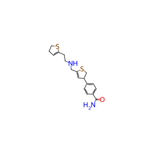 NC(=O)c1ccc(C2C=C(CNCCC3=CCCS3)SC2)cc1